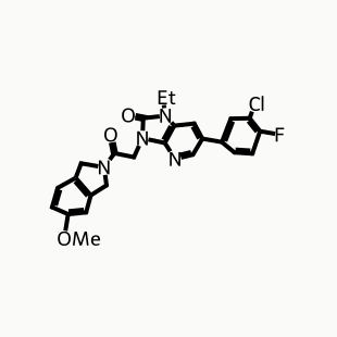 CCn1c(=O)n(CC(=O)N2Cc3ccc(OC)cc3C2)c2ncc(-c3ccc(F)c(Cl)c3)cc21